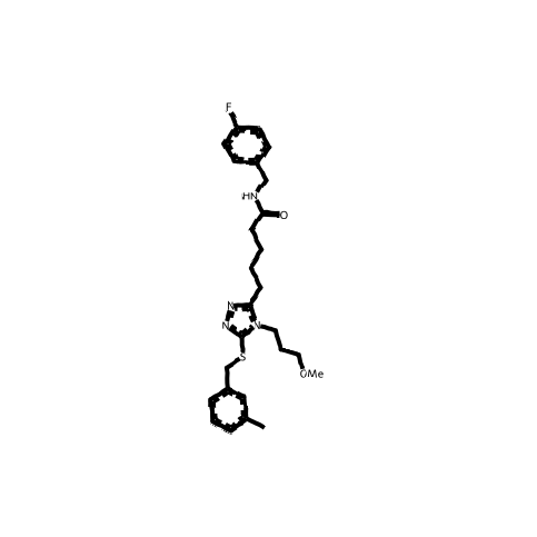 COCCCn1c(CCCCC(=O)NCc2ccc(F)cc2)nnc1SCc1cccc(C)c1